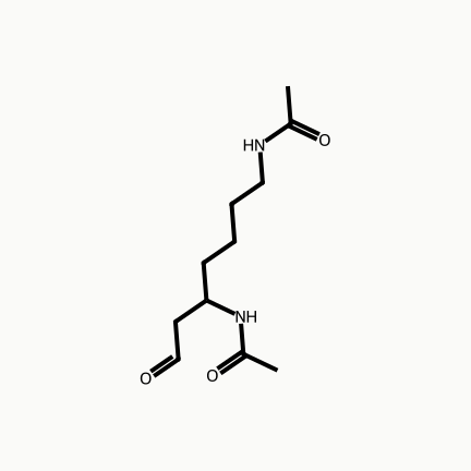 CC(=O)NCCCCC(CC=O)NC(C)=O